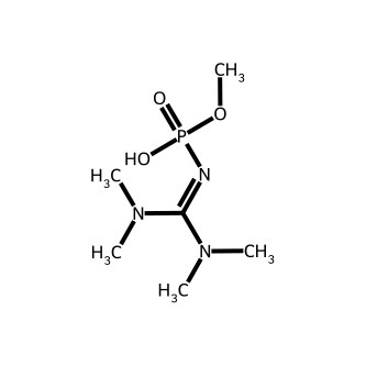 COP(=O)(O)N=C(N(C)C)N(C)C